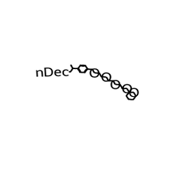 CCCCCCCCCCCC(C)c1ccc(COCCOCCOCCOC2CCCCO2)cc1